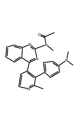 CC(=O)N(C)c1nc(-c2ccnc(C)c2-c2ccc(N(C)C)cc2)c2ccccc2n1